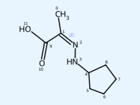 C/C(=N/NC1CCCC1)C(=O)O